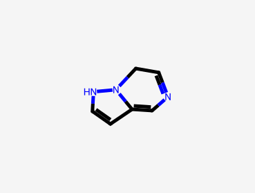 C1=CC2=CN=CCN2N1